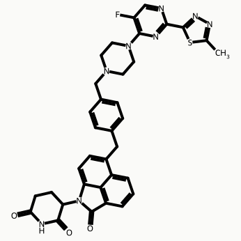 Cc1nnc(-c2ncc(F)c(N3CCN(Cc4ccc(Cc5ccc6c7c(cccc57)C(=O)N6C5CCC(=O)NC5=O)cc4)CC3)n2)s1